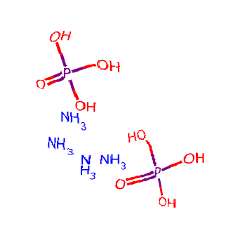 N.N.N.N.O=P(O)(O)O.O=P(O)(O)O